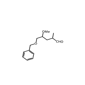 COC(COCc1ccccc1)CC(C)C=O